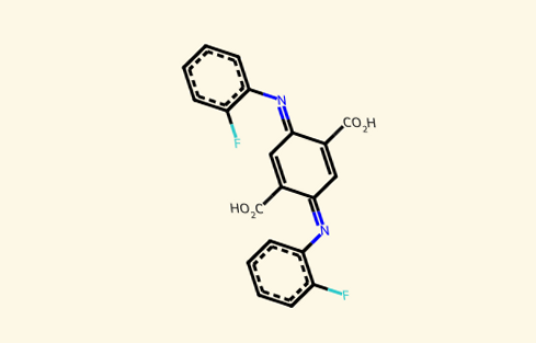 O=C(O)C1=CC(=Nc2ccccc2F)C(C(=O)O)=CC1=Nc1ccccc1F